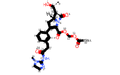 C[C@@H](O)[C@H]1C(=O)N2C(C(=O)OCOC(=O)C(C)(C)C)=C(c3cccc(CC(=O)Nc4nccn4C)c3)C[C@H]12